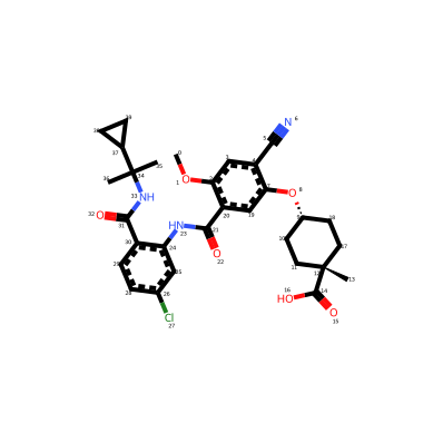 COc1cc(C#N)c(O[C@H]2CC[C@@](C)(C(=O)O)CC2)cc1C(=O)Nc1cc(Cl)ccc1C(=O)NC(C)(C)C1CC1